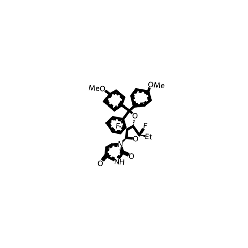 CC[C@@]1(F)O[C@@H](n2ccc(=O)[nH]c2=O)[C@H](F)[C@@H]1OC(c1ccccc1)(c1ccc(OC)cc1)c1ccc(OC)cc1